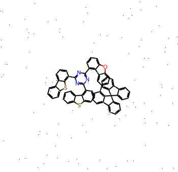 c1ccc2c(c1)-c1ccccc1C21c2ccccc2-c2cccc(-c3ccc4oc5cccc(-c6nc(-c7cccc8c7sc7ccccc78)nc(-c7cccc8sc9ccccc9c78)n6)c5c4c3)c21